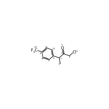 CC(C(=O)CCl)c1ccc(C(F)(F)F)cc1